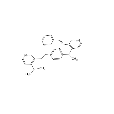 CC(C)c1ccncc1CCc1ccc(C(C)c2ccncc2/C=C/c2ccccc2)cc1